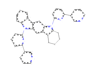 c1cncc(-c2cccc(-n3c4c(c5cc6c(cc53)c3ccccc3n6-c3cccc(-c5cccnc5)n3)CCCC4)n2)c1